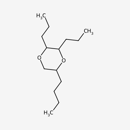 CCCCC1COC(CCC)C(CCC)O1